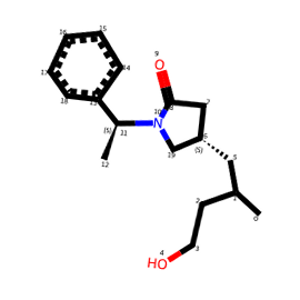 CC(CCO)C[C@H]1CC(=O)N([C@@H](C)c2ccccc2)C1